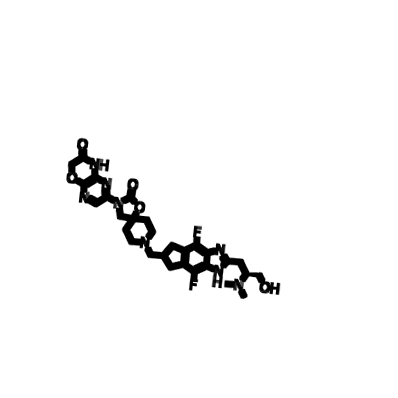 CN(C)[C@H](CO)Cc1nc2c(F)c3c(c(F)c2[nH]1)CC(CN1CCC2(CC1)CN(c1cnc4c(n1)NC(=O)CO4)C(=O)O2)C3